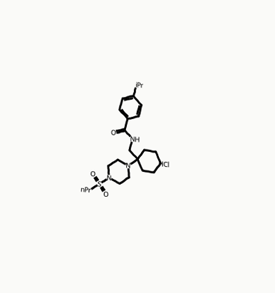 CCCS(=O)(=O)N1CCN(C2(CNC(=O)c3ccc(C(C)C)cc3)CCCCC2)CC1.Cl